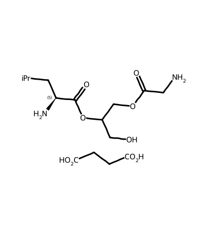 CC(C)C[C@H](N)C(=O)OC(CO)COC(=O)CN.O=C(O)CCC(=O)O